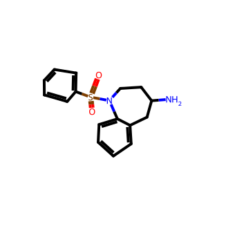 NC1CCN(S(=O)(=O)c2ccccc2)c2ccccc2C1